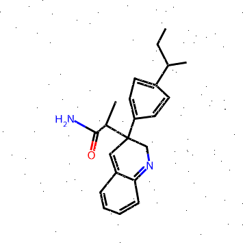 CCC(C)c1ccc(C2(C(C)C(N)=O)C=c3ccccc3=NC2)cc1